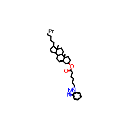 CC(C)CCCCC1CCC2C3CC=C4CC(OC(=O)CCCCCn5nnc6ccccc65)CCC4(C)C3CCC12C